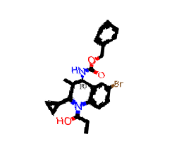 CCC(O)N1c2ccc(Br)cc2[C@H](NC(=O)OCc2ccccc2)C(C)C1C1CC1